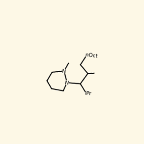 CCCCCCCCCC(C)C(C(C)C)N1CCCCN1C